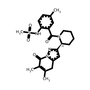 CC1=C(C)C(=O)n2nc([C@@H]3CCCCN3C(=O)c3cc(C)ccc3NS(C)(=O)=O)cc2C1